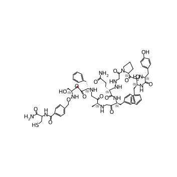 C[C@H](NCC(=O)[C@H](Cc1ccccc1)NC(=O)[C@H](CCC(N)=O)NNCC(=O)N1CCC[C@H]1C(=O)C(=O)[C@H](Cc1ccccc1)NC(=O)[C@@H](N)Cc1ccc(O)cc1)C(=O)CN[C@@H](Cc1ccccc1)C(=O)C(=O)[C@H](CO)NOCc1ccc(C(=O)NC(CS)C(N)=O)cc1